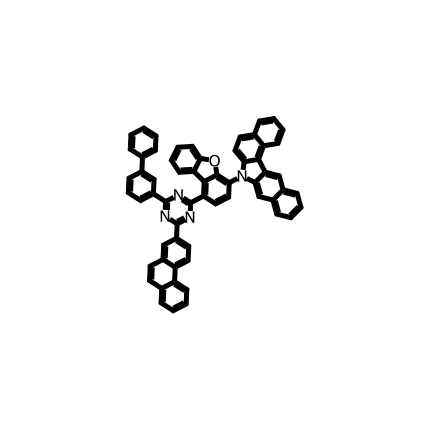 c1ccc(-c2cccc(-c3nc(-c4ccc5c(ccc6ccccc65)c4)nc(-c4ccc(-n5c6cc7ccccc7cc6c6c7ccccc7ccc65)c5oc6ccccc6c45)n3)c2)cc1